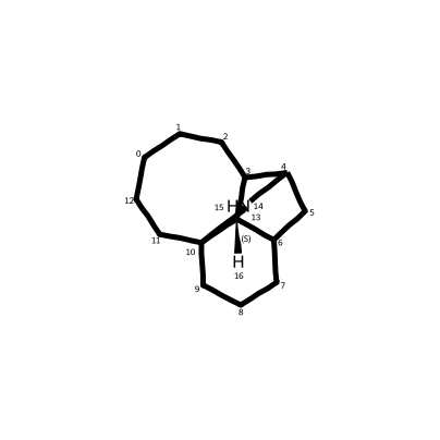 C1CCC2C3CC4CCCC(CC1)(CN3)[C@@H]42